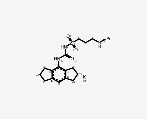 CC(C)NCCCS(=O)(=O)NC(=O)Nc1c2c(cc3c1CCC3)CCC2.[K]